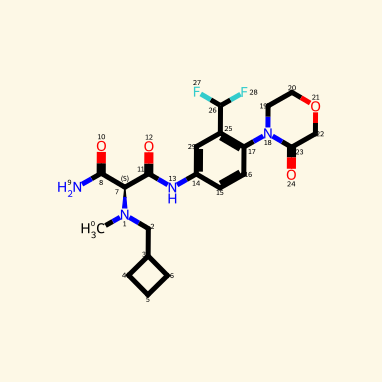 CN(CC1CCC1)[C@@H](C(N)=O)C(=O)Nc1ccc(N2CCOCC2=O)c(C(F)F)c1